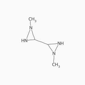 CN1NC1C1NN1C